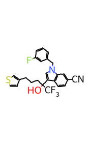 N#Cc1ccc2c(C(O)(CCCc3ccsc3)C(F)(F)F)cn(Cc3cccc(F)c3)c2c1